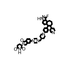 O=C1CC[C@H](N2Cc3cc(N4CCN(CC5CCN(c6ccc(C7=C(c8ccncc8)CCCc8c7ccc7[nH]nc(F)c87)cc6)CC5)CC4)ccc3C2=O)C(=O)N1